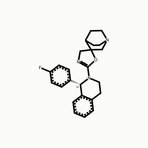 Fc1ccc([C@H]2c3ccccc3CCN2C2=NCC3(CN4CCC3CC4)O2)cc1